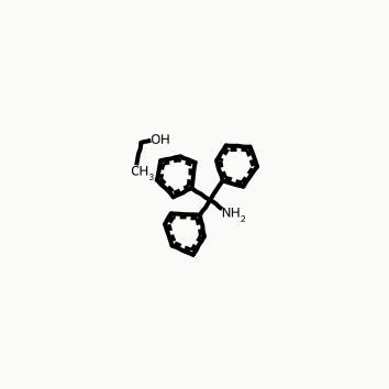 CCO.NC(c1ccccc1)(c1ccccc1)c1ccccc1